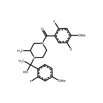 COc1ccc(C(C)(O)N2CCN(C(=O)c3cc(F)c(OC)cc3F)CC2C)c(F)c1